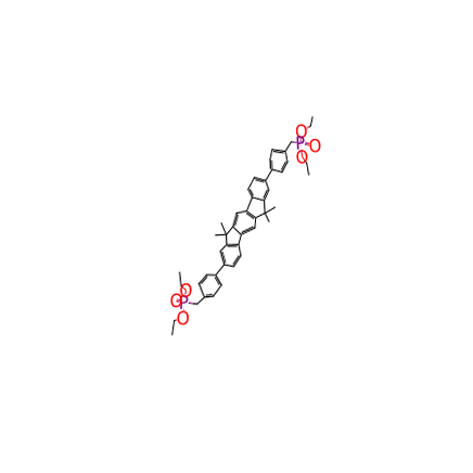 CCOP(=O)(Cc1ccc(-c2ccc3c(c2)C(C)(C)c2cc4c(cc2-3)C(C)(C)c2cc(-c3ccc(CP(=O)(OCC)OCC)cc3)ccc2-4)cc1)OCC